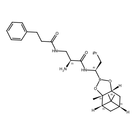 CC(C)C[C@H](NC(=O)[C@@H](N)CNC(=O)CCc1ccccc1)B1O[C@@H]2C[C@@H]3C[C@@H](C3(C)C)[C@]2(C)O1